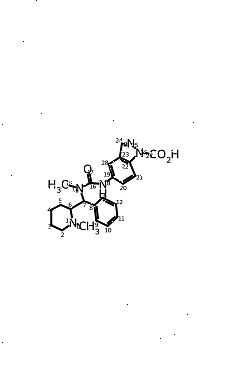 CN1CCCCC1C(c1ccccc1)N(C)C(=O)Nc1ccc2c(cnn2C(=O)O)c1